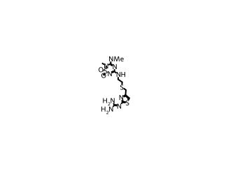 CNC1=NC(NCCSCc2csc(N=C(N)N)n2)=NS(=O)(=O)N1C